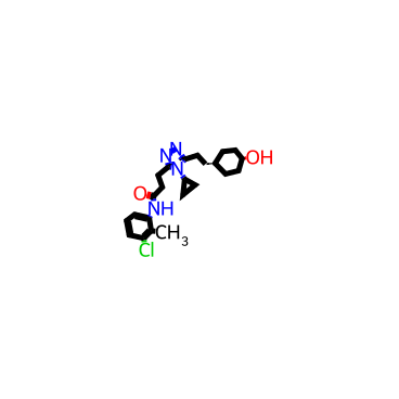 Cc1c(Cl)cccc1NC(=O)CCc1nnc(CC[C@H]2CC[C@H](O)CC2)n1C1CC1